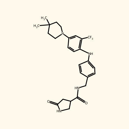 CC1(C)CCN(c2ccc(Nc3ccc(CNC(=O)C4CNC(=O)C4)cc3)c(C(F)(F)F)c2)CC1